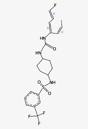 C\C=C/C(=C\C=C\F)NC(=O)NC1CCC(NS(=O)(=O)c2cccc(C(F)(F)F)c2)CC1